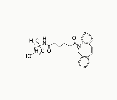 CC(C)(CCO)NC(=O)CCCCC(=O)N1Cc2ccccc2/C=C\c2ccccc21